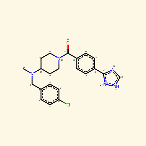 CN(Cc1ccc(Cl)cc1)C1CCN(C(=O)c2ccc(-c3nc[nH]n3)cc2)CC1